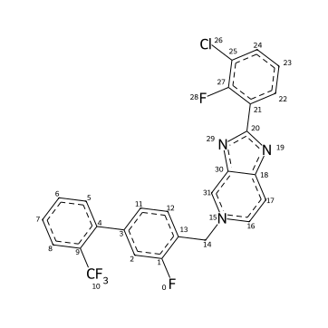 Fc1cc(-c2ccccc2C(F)(F)F)ccc1Cn1ccc2nc(-c3cccc(Cl)c3F)nc-2c1